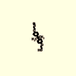 CC(C)(C1=CC=C(OCCN=O)CC1)c1ccc(OCCO)cc1